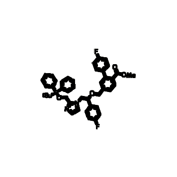 COC(=O)c1ccc(COC(Cn2ccnc2CO[Si](c2ccccc2)(c2ccccc2)C(C)(C)C)c2ccc(F)cc2)cc1-c1ccc(F)cc1